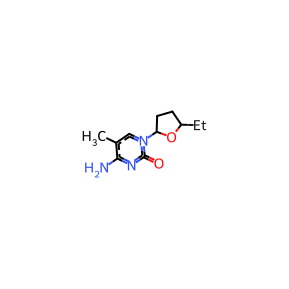 CCC1CCC(n2cc(C)c(N)nc2=O)O1